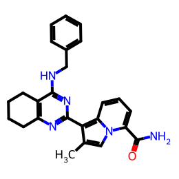 Cc1cn2c(C(N)=O)cccc2c1-c1nc2c(c(NCc3ccccc3)n1)CCCC2